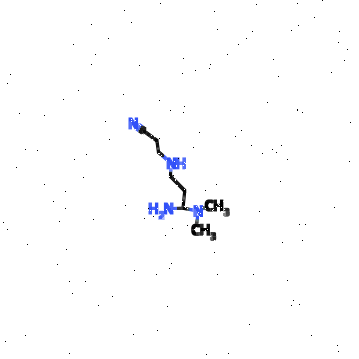 CN(C)C(N)CCNCCC#N